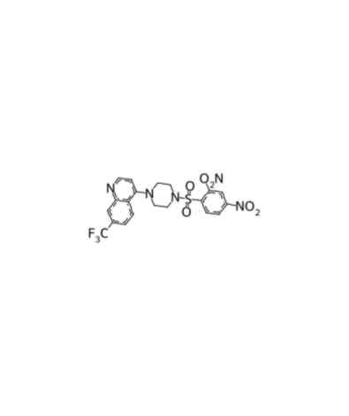 O=[N+]([O-])c1ccc(S(=O)(=O)N2CCN(c3ccnc4cc(C(F)(F)F)ccc34)CC2)c([N+](=O)[O-])c1